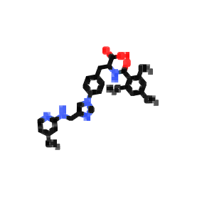 Cc1ccnc(NCc2cn(-c3ccc(CC(NC(=O)c4c(C)cc(C)cc4C)C(=O)O)cc3)cn2)c1